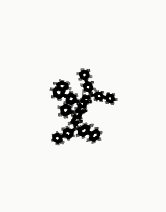 c1ccc(-c2ccc(N(c3ccc(-c4ccccc4)cc3)c3cc4c(s3)c3sc5c6sc(N(c7ccc(-c8ccccc8)cc7)c7ccc(-c8ccccc8)cc7)cc6n(-c6ccc(-c7cccc8ccccc78)cc6)c5c3n4-c3ccccc3)cc2)cc1